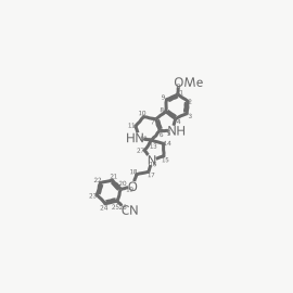 COc1ccc2[nH]c3c(c2c1)CCNC31CCN(CCOc2ccccc2C#N)C1